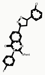 CCCCCc1nc2cc(C3=NOC(c4cccc(Cl)c4)C3)ccc2c(=O)n1-c1ccc(F)cc1